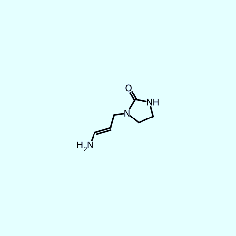 NC=CCN1CCNC1=O